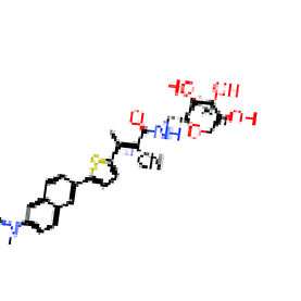 C/C(=C(/C#N)C(=O)NC[C@H]1OC[C@H](O)[C@@H](O)[C@@H]1O)c1ccc(-c2ccc3cc(N(C)C)ccc3c2)s1